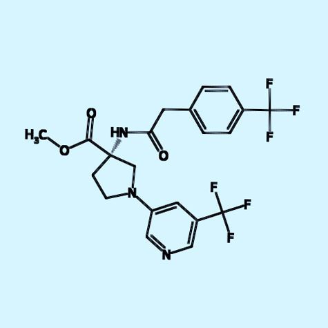 COC(=O)[C@]1(NC(=O)Cc2ccc(C(F)(F)F)cc2)CCN(c2cncc(C(F)(F)F)c2)C1